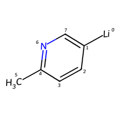 [Li][c]1ccc(C)nc1